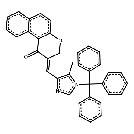 Cc1c(/C=C2\COc3ccc4ccccc4c3C2=O)ncn1C(c1ccccc1)(c1ccccc1)c1ccccc1